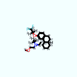 [2H]C([2H])(Oc1ccc2c(c1)[C@]1(CCN(CCOC)C([2H])([2H])[2H])CCCC[C@@H]1CC2)C(F)F